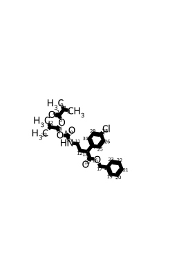 CC(C)C(=O)OC(OC(=O)NCCC(C(=O)OCc1ccccc1)c1ccc(Cl)cc1)C(C)C